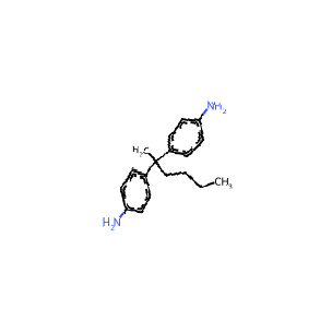 CCCCC(C)(c1ccc(N)cc1)c1ccc(N)cc1